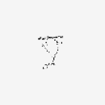 CCCCCC(CCCCC)CCOC(=O)CCCCCCCC(CCCCCCCC(=O)OCCC(CCCCC)CCCCC)COC(=O)CSC1CCN(C)CC1